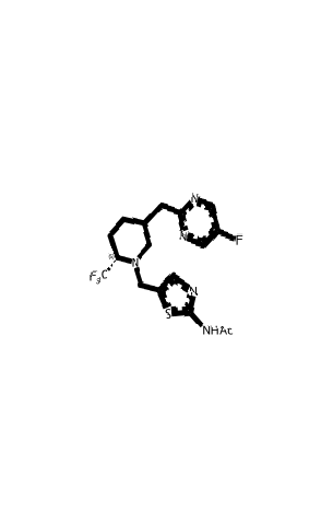 CC(=O)Nc1ncc(CN2CC(Cc3ncc(F)cn3)CC[C@H]2C(F)(F)F)s1